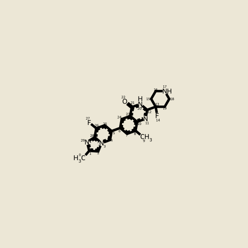 Cc1cn2cc(-c3cc(C)c4nc(C5(F)CCNCC5)[nH]c(=O)c4c3)cc(F)c2n1